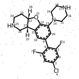 Fc1cc(Cl)cc(F)c1-c1cc2c(c(N3CCNCC3)c1)O[C@H]1CCNC[C@@H]21